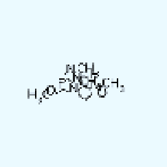 COCCCN(c1cccc(NC(C)=O)c1C)c1nc(C)ncc1F